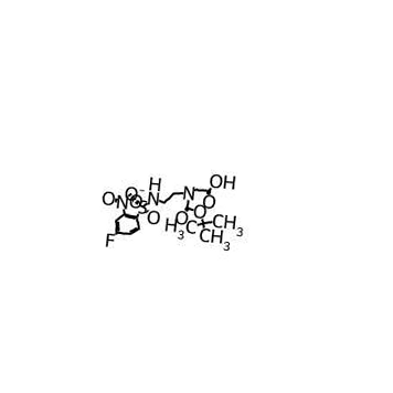 CC(C)(C)OC(=O)N(CCNS(=O)(=O)c1ccc(F)cc1[N+](=O)[O-])CC(=O)O